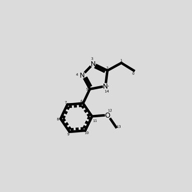 CCC1=NN=C(c2ccccc2OC)[N]1